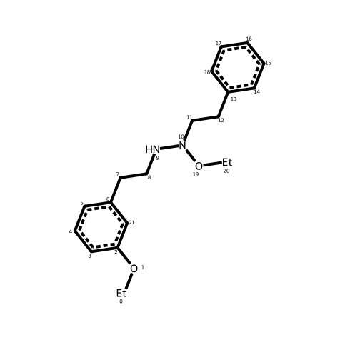 CCOc1cccc(CCNN(CCc2ccccc2)OCC)c1